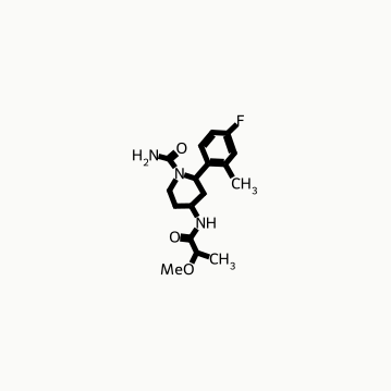 COC(C)C(=O)NC1CCN(C(N)=O)C(c2ccc(F)cc2C)C1